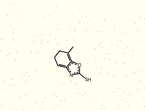 CC1=c2oc(S)nc2=CCC1